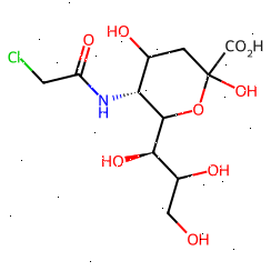 O=C(CCl)N[C@@H]1C(O)CC(O)(C(=O)O)OC1[C@H](O)C(O)CO